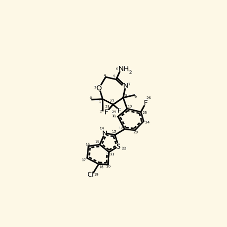 CC1(C)OCC(N)=NC(C)(c2cc(-c3nc4ccc(Cl)cc4s3)ccc2F)C1(F)F